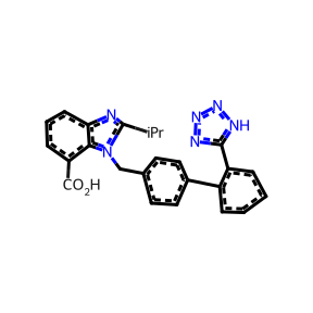 CC(C)c1nc2cccc(C(=O)O)c2n1Cc1ccc(-c2ccccc2-c2nnn[nH]2)cc1